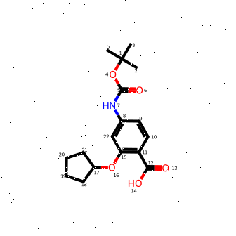 CC(C)(C)OC(=O)Nc1ccc(C(=O)O)c(OC2CCCC2)c1